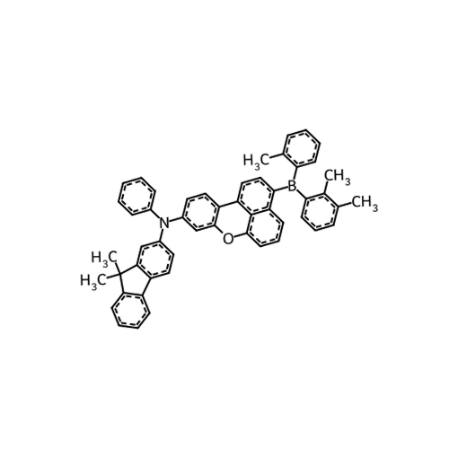 Cc1ccccc1B(c1cccc(C)c1C)c1ccc2c3c(cccc13)Oc1cc(N(c3ccccc3)c3ccc4c(c3)C(C)(C)c3ccccc3-4)ccc1-2